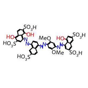 COc1cc(N=Nc2cc(S(=O)(=O)O)cc3cc(S(=O)(=O)O)cc(O)c23)c(OC)cc1N=Nc1ccc(N=Nc2cc(S(=O)(=O)O)c(O)c3ccc(S(=O)(=O)O)c(O)c23)c2cc(S(=O)(=O)O)ccc12